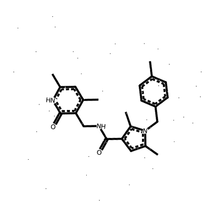 Cc1ccc(Cn2c(C)cc(C(=O)NCc3c(C)cc(C)[nH]c3=O)c2C)cc1